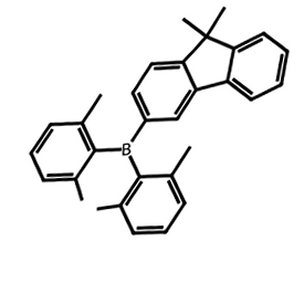 Cc1cccc(C)c1B(c1ccc2c(c1)-c1ccccc1C2(C)C)c1c(C)cccc1C